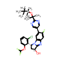 CC(C)(O[Si](C)(C)C(C)(C)C)c1ncc(-c2cc3c(cc2F)nc2n3[C@@H](c3c(Cl)cccc3OC(F)F)C[C@@H]2O)cn1